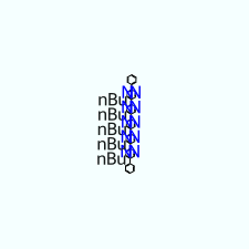 CCCCc1nc(-c2cnc(-c3cnc(-c4cnc(-c5cnc(-c6ccccc6)nc5CCCC)nc4CCCC)nc3CCCC)nc2CCCC)ncc1-c1ccccc1